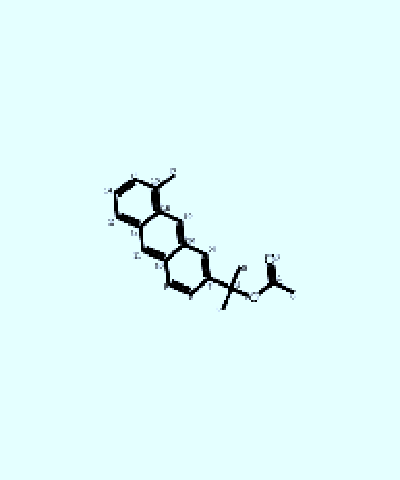 CC(=O)OC(C)(C)c1ccc2cc3cccc(C)c3cc2c1